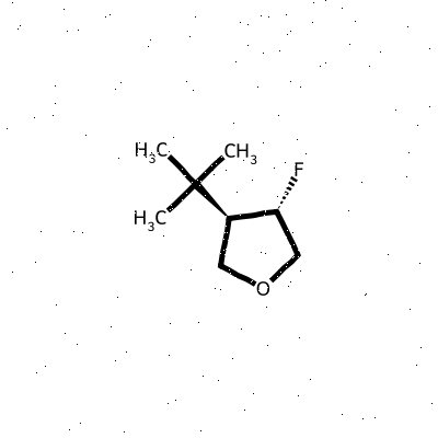 CC(C)(C)[C@@H]1COC[C@H]1F